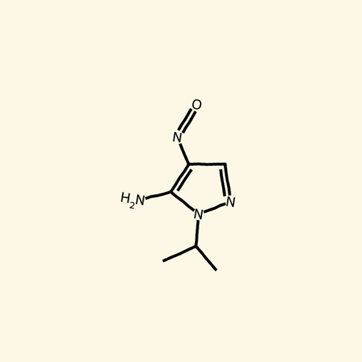 CC(C)n1ncc(N=O)c1N